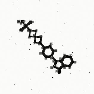 CS(=O)(=O)N1CC2(CN(c3ccc(-c4n[nH]c5ccccc45)cn3)C2)C1